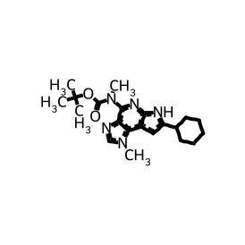 CN(C(=O)OC(C)(C)C)c1nc2[nH]c(C3CCCCC3)cc2c2c1ncn2C